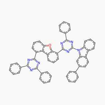 c1ccc(-c2ccc3c4ccccc4n(-c4nc(-c5ccccc5)nc(-c5cccc6c5oc5cccc(-c7nc(-c8ccccc8)nc(-c8ccccc8)n7)c56)n4)c3c2)cc1